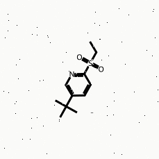 CCS(=O)(=O)c1ccc(C(C)(C)C)cn1